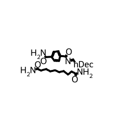 CCCCCCCCCCC=NC(=O)c1ccc(C(N)=O)cc1.NC(=O)CCCCCCCCC(N)=O